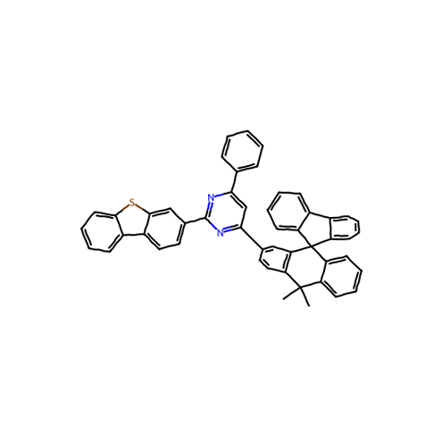 CC1(C)c2ccccc2C2(c3ccccc3-c3ccccc32)c2cc(-c3cc(-c4ccccc4)nc(-c4ccc5c(c4)sc4ccccc45)n3)ccc21